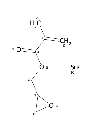 C=C(C)C(=O)OCC1CO1.[Sn]